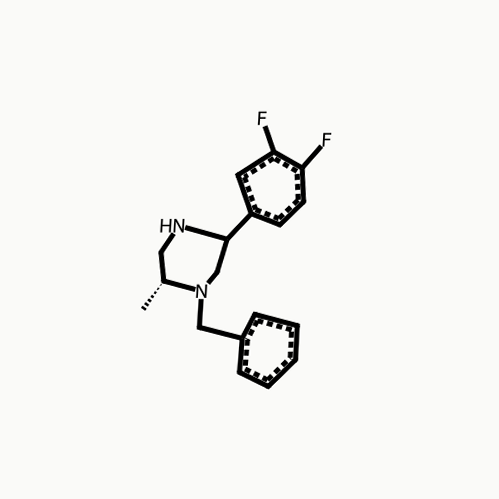 C[C@@H]1CNC(c2ccc(F)c(F)c2)CN1Cc1ccccc1